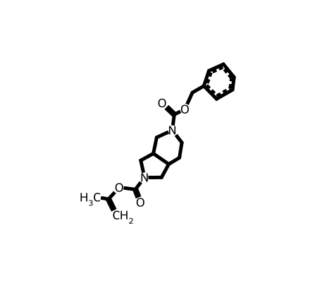 C=C(C)OC(=O)N1CC2CCN(C(=O)OCc3ccccc3)CC2C1